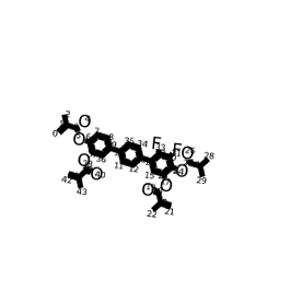 C=C(C)C(=O)Oc1ccc(-c2ccc(-c3cc(OC(=O)C(=C)C)c(OC(=O)C(C)C)c(F)c3F)cc2)cc1OC(=O)C(=C)C